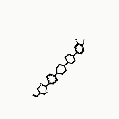 C=CC1COC(c2ccc(C3CCC(C4CCC(c5ccc(F)c(F)c5)CC4)CC3)cc2)OC1